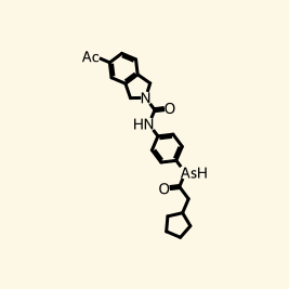 CC(=O)c1ccc2c(c1)CN(C(=O)Nc1ccc([AsH]C(=O)CC3CCCC3)cc1)C2